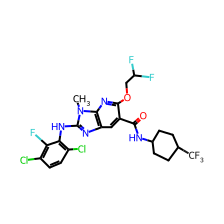 Cn1c(Nc2c(Cl)ccc(Cl)c2F)nc2cc(C(=O)NC3CCC(C(F)(F)F)CC3)c(OCC(F)F)nc21